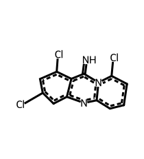 N=c1c2c(Cl)cc(Cl)cc2nc2cccc(Cl)n12